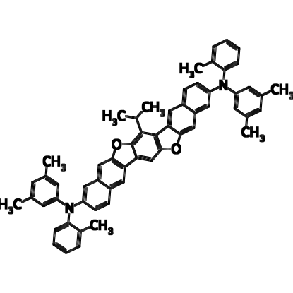 Cc1cc(C)cc(N(c2ccc3cc4c(cc3c2)oc2c(C(C)C)c3c(cc24)oc2cc4cc(N(c5cc(C)cc(C)c5)c5ccccc5C)ccc4cc23)c2ccccc2C)c1